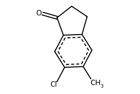 Cc1cc2c(cc1Cl)C(=O)CC2